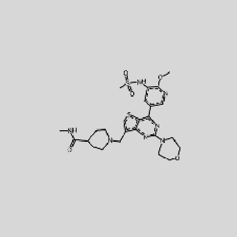 CNC(=O)C1CCN(Cc2csc3c(-c4cnc(OC)c(NS(C)(=O)=O)c4)nc(N4CCOCC4)nc23)CC1